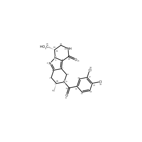 C[C@@H]1Cc2nn3c(c2CN1C(=O)c1ccc(Cl)c(Cl)c1)C(=O)NC[C@H]3C(=O)O